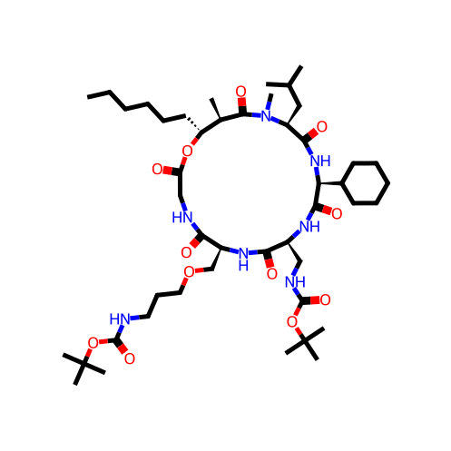 CCCCCC[C@H]1OC(=O)CNC(=O)[C@H](COCCCNC(=O)OC(C)(C)C)NC(=O)[C@H](CNC(=O)OC(C)(C)C)NC(=O)[C@H](C2CCCCC2)NC(=O)[C@H](CC(C)C)N(C)C(=O)[C@@H]1C